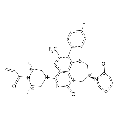 C=CC(=O)N1[C@H](C)CN(c2nc(=O)n3c4c(c(-c5ccc(F)cc5)c(C(F)(F)F)cc24)SC[C@@H](n2ccccc2=O)C3)C[C@@H]1C